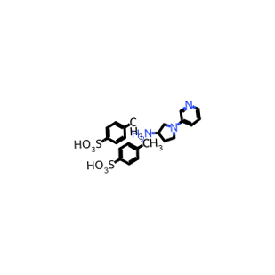 Cc1ccc(S(=O)(=O)O)cc1.Cc1ccc(S(=O)(=O)O)cc1.NC1CCN(c2cccnc2)C1